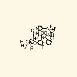 CC(C)(C)OC(=O)N1CC(=O)N(c2cc(C#N)ccn2)[C@H](C(=O)N(c2cccc(F)c2)C(C(=O)NC2CC(F)(F)C2)c2ccccc2Cl)C1